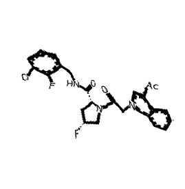 CC(=O)c1cn(CC(=O)N2C[C@H](F)C[C@@H]2C(=O)NCc2cccc(Cl)c2F)c2cc[c]cc12